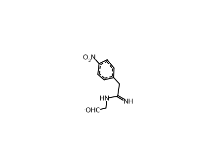 N=C(Cc1ccc([N+](=O)[O-])cc1)NC[C]=O